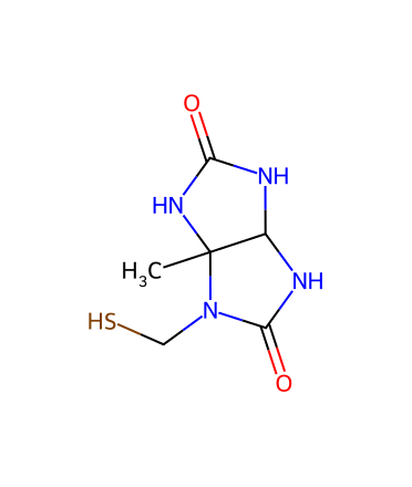 CC12NC(=O)NC1NC(=O)N2CS